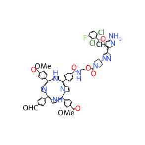 COC(=O)c1ccc(-c2c3nc(c(-c4ccc(C(=O)NCCOC(=O)N5CCC(n6cc(-c7cnc(N)c(O[C@@H](C)c8c(Cl)ccc(F)c8Cl)c7)cn6)CC5)cc4)c4ccc([nH]4)c(-c4ccc(C(=O)OC)cc4)c4nc(c(-c5ccc(C=O)cc5)c5ccc2[nH]5)C=C4)C=C3)cc1